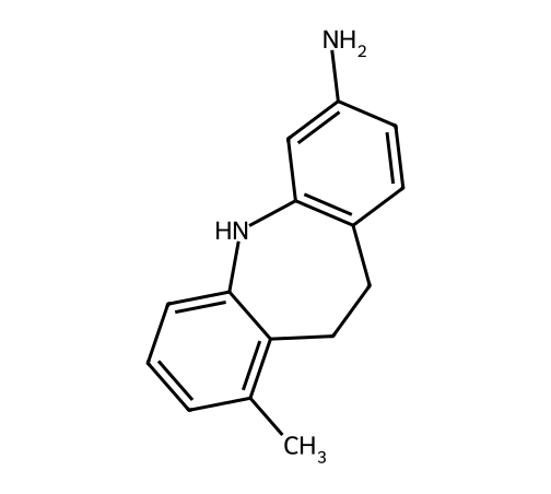 Cc1cccc2c1CCc1ccc(N)cc1N2